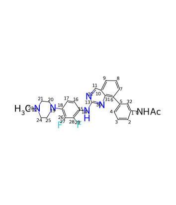 CC(=O)Nc1cccc(-c2cccc3cnc(Nc4ccc(N5CCN(C)CC5)c(F)c4F)nc23)c1